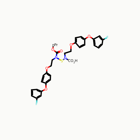 CCCOC(=O)N(CCOc1ccc(Oc2cccc(F)c2)cc1)SN(CCOc1ccc(Oc2cccc(F)c2)cc1)C(=O)O